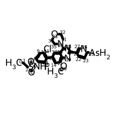 CCCS(=O)(=O)Nc1ccc(Cl)c(-c2cc(OC)c3nc(-c4ccc([AsH2])nc4)nc(N4CCOCC4)c3c2)c1F